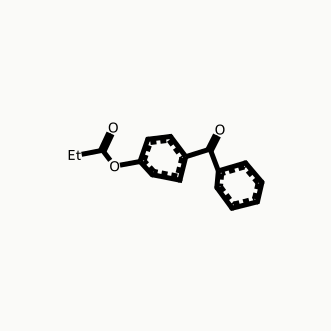 CCC(=O)Oc1ccc(C(=O)c2ccccc2)cc1